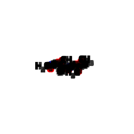 C=CC(=O)N1CCC(Oc2cc(-c3ccccc3)c(/C=C/C(=O)N3CCC(Oc4cc(OC)cc(-c5ccccc5OC)c4)CC3)cc2OC)CC1